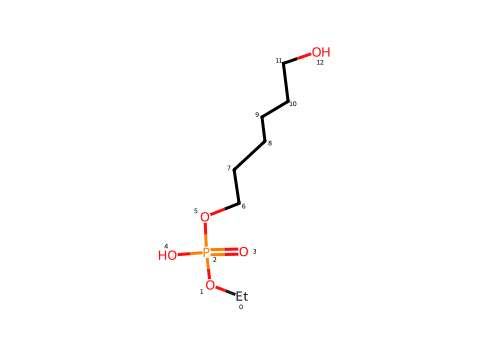 CCOP(=O)(O)OCCCCCCO